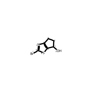 OC1CCc2nc(Br)sc21